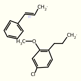 [CH2]/C=C/c1ccccc1.[CH2]CCc1ccc(Cl)cc1OC